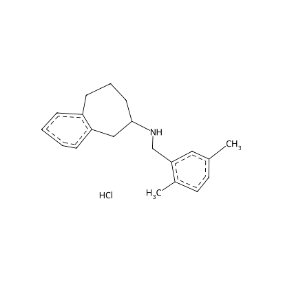 Cc1ccc(C)c(CNC2CCCc3ccccc3C2)c1.Cl